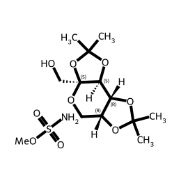 CC1(C)O[C@@H]2[C@@H](CO[C@@]3(CO)OC(C)(C)O[C@@H]23)O1.COS(N)(=O)=O